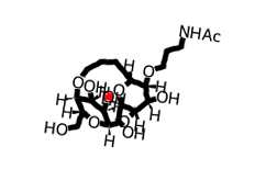 CC(=O)NCCCO[C@@H]1[C@@H](O)[C@@H]2O[C@H]3O[C@H](CO)[C@@H](OCCC[C@H]1O[C@@H]2CO)[C@H](O)[C@H]3O